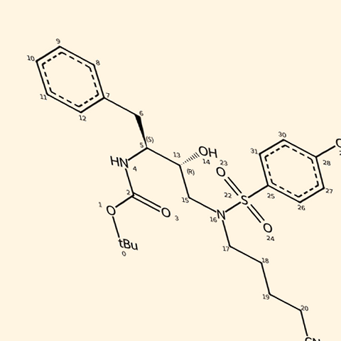 CC(C)(C)OC(=O)N[C@@H](Cc1ccccc1)[C@H](O)CN(CCCCC#N)S(=O)(=O)c1ccc(O)cc1